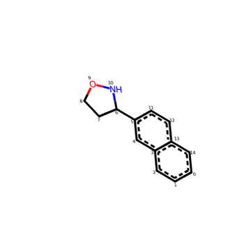 c1ccc2cc(C3CCON3)ccc2c1